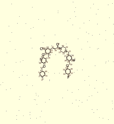 Cc1ccc(COc2ccc(Oc3c(C)cc(C=CC(=O)N4CCN(Cc5ccc(COc6ccc(F)cc6)c(F)c5)CC4)cc3Cl)nc2)cc1